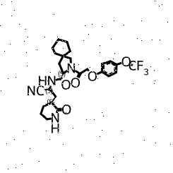 N#C[C@H](C[C@@H]1CCCNC1=O)NC(=O)[C@@H]1CC2(CCCCC2)CN1C(=O)COc1ccc(OC(F)(F)F)cc1